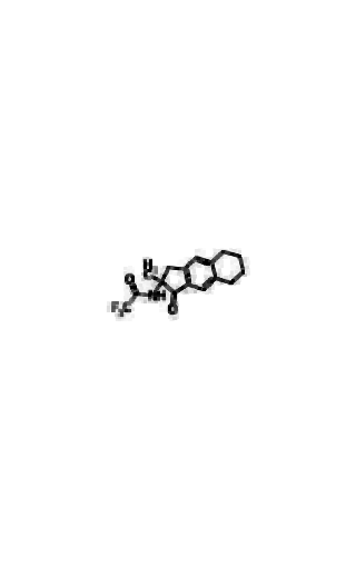 CC1(NC(=O)C(F)(F)F)Cc2cc3c(cc2C1=O)CCCC3